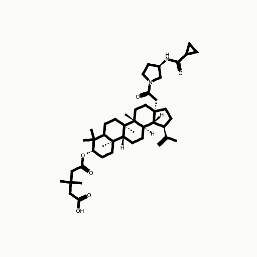 C=C(C)[C@@H]1CC[C@]2(CC(=O)N3CC[C@@H](NC(=O)C4CC4)C3)CC[C@]3(C)[C@H](CC[C@@H]4[C@@]5(C)CC[C@H](OC(=O)CC(C)(C)CC(=O)O)C(C)(C)C5CC[C@]43C)[C@@H]12